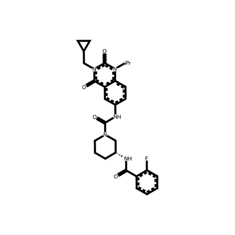 CC(C)n1c(=O)n(CC2CC2)c(=O)c2cc(NC(=O)N3CCC[C@@H](NC(=O)c4ccccc4F)C3)ccc21